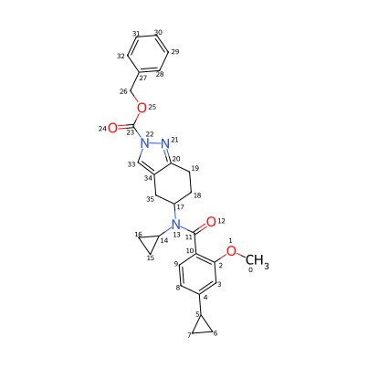 COc1cc(C2CC2)ccc1C(=O)N(C1CC1)C1CCc2nn(C(=O)OCc3ccccc3)cc2C1